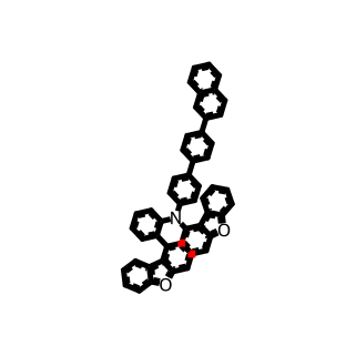 c1ccc(N(c2ccc(-c3ccc(-c4ccc5ccccc5c4)cc3)cc2)c2cccc3oc4ccccc4c23)c(-c2cccc3oc4ccccc4c23)c1